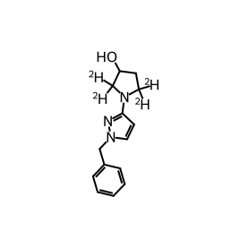 [2H]C1([2H])CC(O)C([2H])([2H])N1c1ccn(Cc2ccccc2)n1